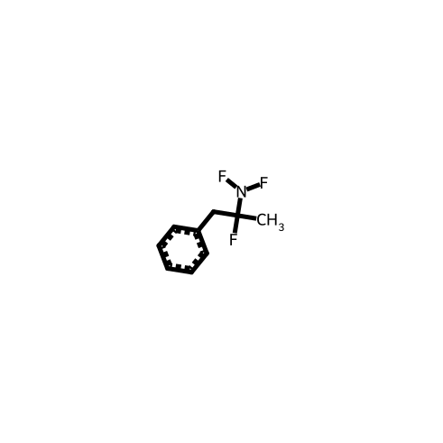 CC(F)(Cc1ccccc1)N(F)F